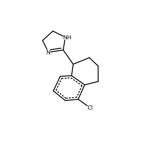 Clc1cccc2c1CCCC2C1=NCCN1